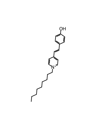 CCCCCCCCC[n+]1ccc(/C=C/c2ccc(O)cc2)cc1